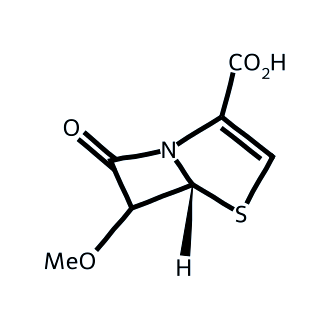 COC1C(=O)N2C(C(=O)O)=CS[C@H]12